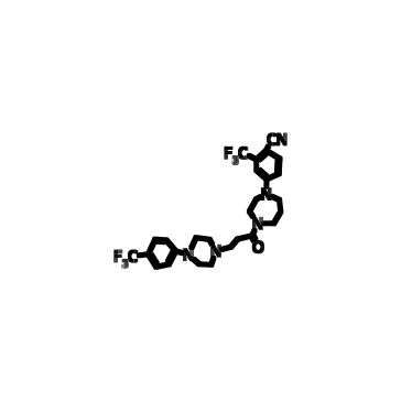 N#Cc1ccc(N2CCCN(C(=O)CCN3CCN(c4ccc(C(F)(F)F)cc4)CC3)CC2)cc1C(F)(F)F